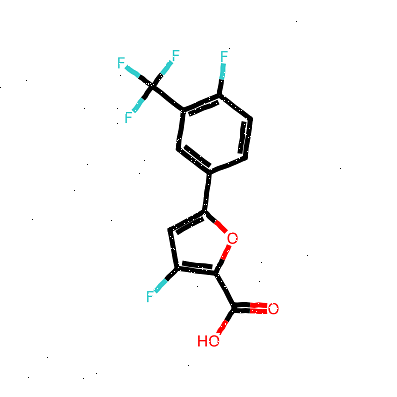 O=C(O)c1oc(-c2ccc(F)c(C(F)(F)F)c2)cc1F